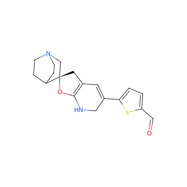 O=Cc1ccc(C2=CC3=C(NC2)O[C@@]2(C3)CN3CCC2CC3)s1